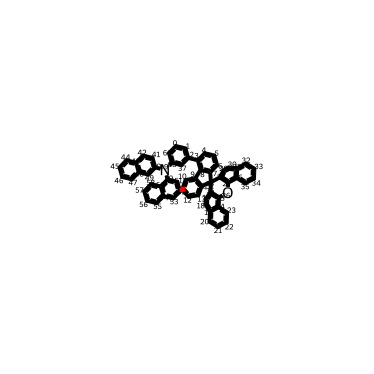 c1cc(-c2cccc3c2-c2ccccc2C32c3ccc4ccccc4c3Oc3c2ccc2ccccc32)cc(N(c2ccc3ccccc3c2)c2cccc3ccccc23)c1